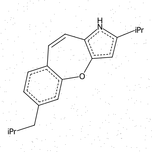 CC(C)Cc1ccc2c(c1)Oc1cc(C(C)C)[nH]c1C=C2